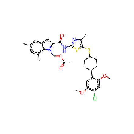 COc1cc(C2CCC(Sc3sc(NC(=O)c4cc5cc(C)cc(C)c5n4COC(C)=O)nc3C)CC2)c(OC)cc1Cl